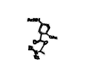 CCN(CC)C(C)OC(=O)c1cc(NC(C)=O)ccc1OC(C)=O